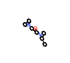 c1ccc(-c2ccc3c(c2)c2ccccc2n3-c2ccc3c(c2)oc2cc(-n4c5ccccc5c5ccccc54)ccc23)cc1